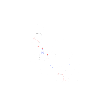 CC(C)(C)c1ccc(-c2ccccc2N2c3cc4c(cc3B3c5ccccc5Sc5c3c2cc2oc3ccccc3c52)B2c3ccccc3N(c3ccccc3)c3c2c(cc2oc5ccccc5c32)N4c2c(-c3ccc(C(C)(C)C)cc3)cccc2-c2ccc(C(C)(C)C)cc2)cc1